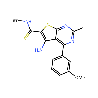 COc1cccc(-c2nc(C)nc3sc(C(=S)NC(C)C)c(N)c23)c1